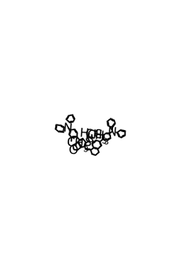 CC[Si]1(CC)c2cc(-c3ccc(N(c4ccccc4)c4ccccc4)cc3C)c3c(c2C=C2CCCc4cc(-c5ccc(N(c6ccccc6)c6ccccc6)cc5C)cc1c42)COC3